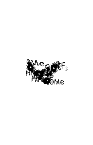 COc1ccc(Nc2cc(CN3C(=O)N(c4ccc(OC(F)(F)F)cc4)C(=O)C3(C)C)cc(Nc3ccc(OC)cc3)n2)cc1